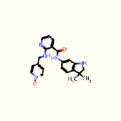 CC1(C)CNc2cc(NC(=O)c3cccnc3NCc3cc[n+]([O-])cc3)ccc21